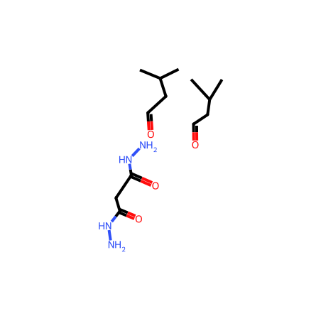 CC(C)CC=O.CC(C)CC=O.NNC(=O)CC(=O)NN